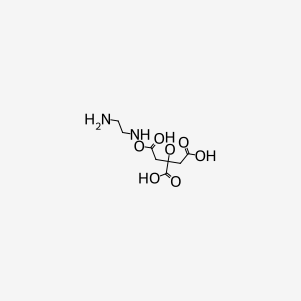 NCCNOC(=O)CC(O)(CC(=O)O)C(=O)O